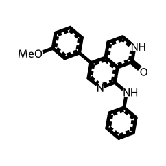 COc1cccc(-c2cnc(Nc3ccccc3)c3c(=O)[nH]ccc23)c1